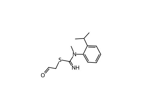 CC(C)c1ccccc1N(C)C(=N)SCC=O